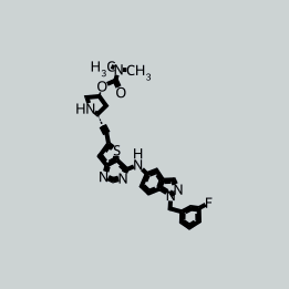 CN(C)C(=O)O[C@H]1CN[C@@H](C#Cc2cc3ncnc(Nc4ccc5c(cnn5Cc5cccc(F)c5)c4)c3s2)C1